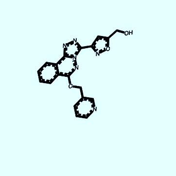 OCc1cc(-c2nnc3c4ccccc4c(OCc4cccnc4)nn23)no1